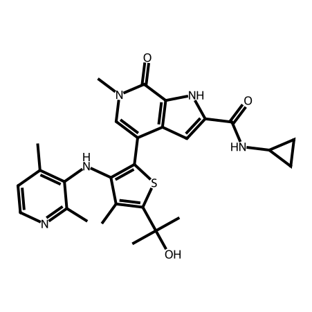 Cc1ccnc(C)c1Nc1c(-c2cn(C)c(=O)c3[nH]c(C(=O)NC4CC4)cc23)sc(C(C)(C)O)c1C